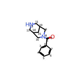 O=C(c1ccccc1)N1CC2CNCC(C2)C1